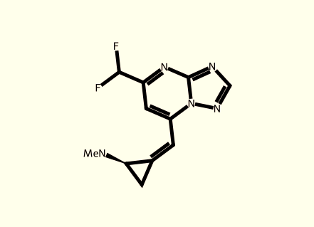 CN[C@@H]1C/C1=C/c1cc(C(F)F)nc2ncnn12